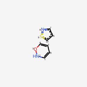 C1=CNOC=C1.c1cnsc1